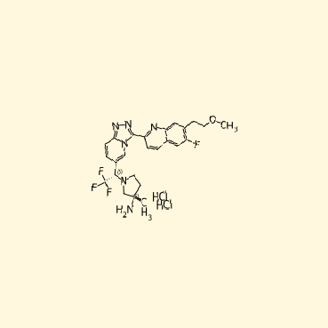 COCCc1cc2nc(-c3nnc4ccc([C@H](N5CC[C@](C)(N)C5)C(F)(F)F)cn34)ccc2cc1F.Cl.Cl